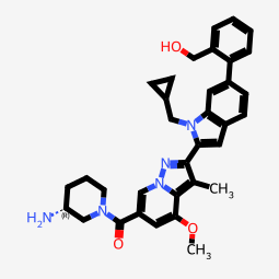 COc1cc(C(=O)N2CCC[C@@H](N)C2)cn2nc(-c3cc4ccc(-c5ccccc5CO)cc4n3CC3CC3)c(C)c12